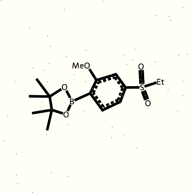 CCS(=O)(=O)c1ccc(B2OC(C)(C)C(C)(C)O2)c(OC)c1